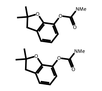 CNC(=O)Oc1cccc2c1OC(C)(C)C2.CNC(=O)Oc1cccc2c1OC(C)(C)C2